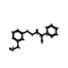 COc1cccc(CCNC(=O)c2ccncc2)c1